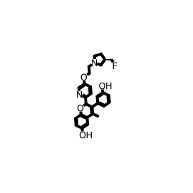 CC1=C(c2cccc(O)c2)C(c2ccc(OCCN3CC[C@@H](CF)C3)cn2)Oc2ccc(O)cc21